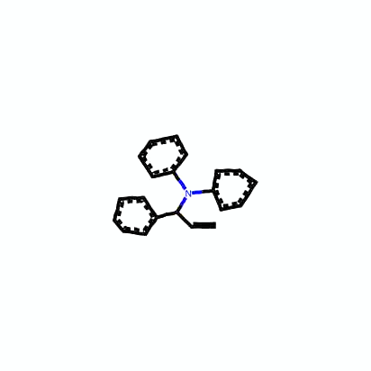 C=CC(c1ccccc1)N(c1ccccc1)c1ccccc1